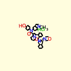 Cl.Cn1ccc2cc(N(C(=O)c3cc(-c4ccccc4C(=O)N4Cc5ccccc5C[C@H]4CN4CCOCC4)n4ccccc34)c3ccc(O)cc3)ccc21